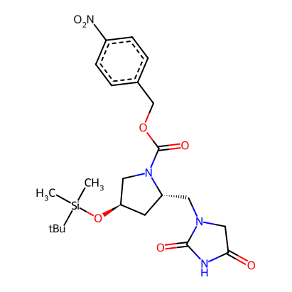 CC(C)(C)[Si](C)(C)O[C@@H]1C[C@@H](CN2CC(=O)NC2=O)N(C(=O)OCc2ccc([N+](=O)[O-])cc2)C1